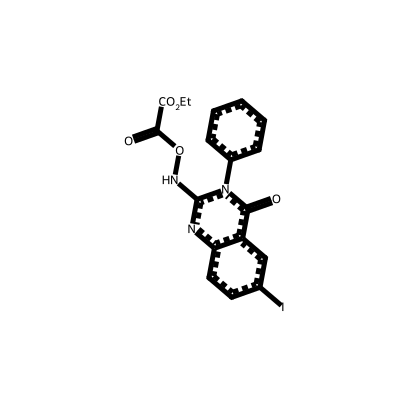 CCOC(=O)C(=O)ONc1nc2ccc(I)cc2c(=O)n1-c1ccccc1